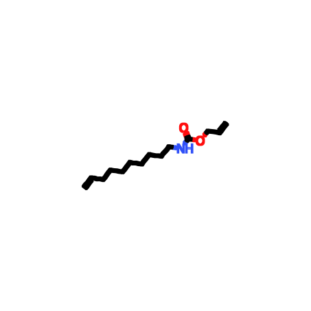 C=CCCCCCCCCNC(=O)OCC=C